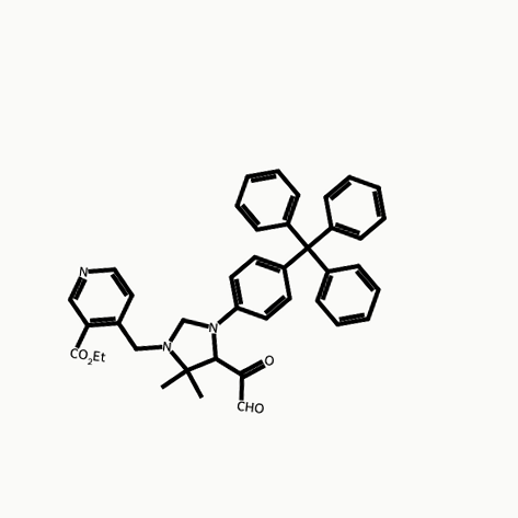 CCOC(=O)c1cnccc1CN1CN(c2ccc(C(c3ccccc3)(c3ccccc3)c3ccccc3)cc2)C(C(=O)C=O)C1(C)C